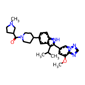 COc1cc(-c2[nH]c3ccc(C4CCN(C(=O)C5CCN(C)C5)CC4)cc3c2C(C)C)cn2ncnc12